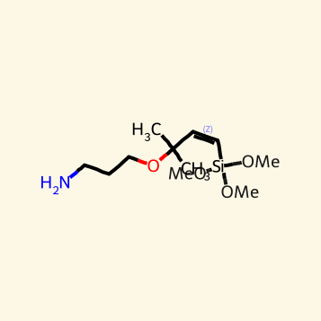 CO[Si](/C=C\C(C)(C)OCCCN)(OC)OC